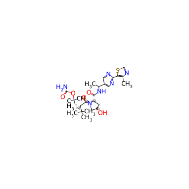 Cc1ncsc1-c1ncc(C(C)NC(=O)[C@@H]2C[C@@H](O)CN2C(=O)[C@@H](CC(C)(C)OC(N)=O)C(C)(C)C)cn1